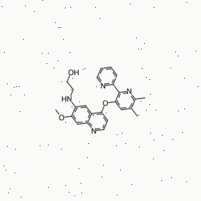 COc1cc2nccc(Oc3cc(C)c(C)nc3-c3ccccn3)c2cc1NCCO